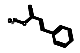 O=C(C=Cc1ccccc1)O[N+](=O)[O-]